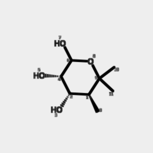 C[C@H]1[C@H](O)[C@H](O)C(O)OC1(C)C